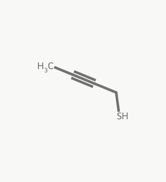 CC#CCS